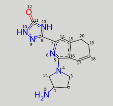 NC1CCN(c2nc(-c3n[nH]c(=O)[nH]3)cc3c2C=CCC3)C1